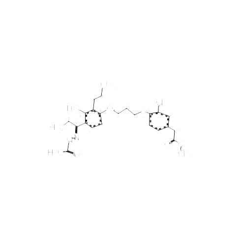 CCCc1c(OCCCSc2ccc(CC(=O)OC)cc2Cl)ccc(C(CC)=NOC(C)=O)c1O